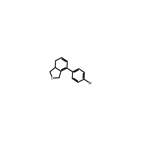 Brc1ccc(C2=C3COCC3CC=C2)cc1